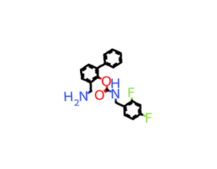 NCc1cccc(-c2ccccc2)c1OC(=O)NCc1ccc(F)cc1F